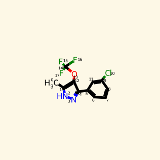 Cc1[nH]nc(-c2cccc(Cl)c2)c1OC(F)(F)F